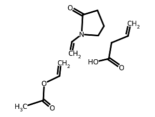 C=CCC(=O)O.C=CN1CCCC1=O.C=COC(C)=O